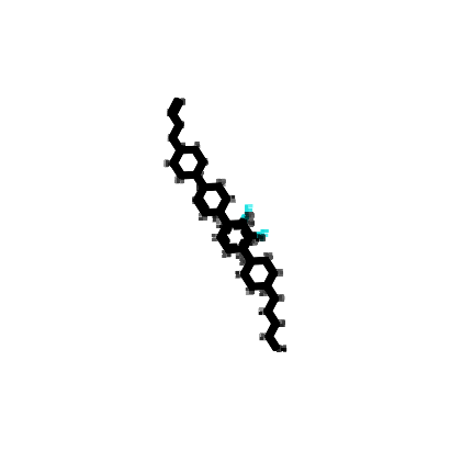 C=CCCC1CCC(C2C=CC(c3ccc(C4CCC(CCCCC)CC4)c(F)c3F)CC2)CC1